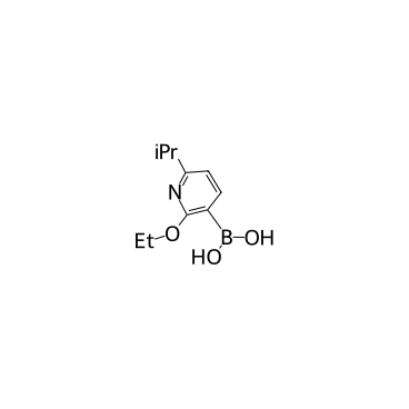 CCOc1nc(C(C)C)ccc1B(O)O